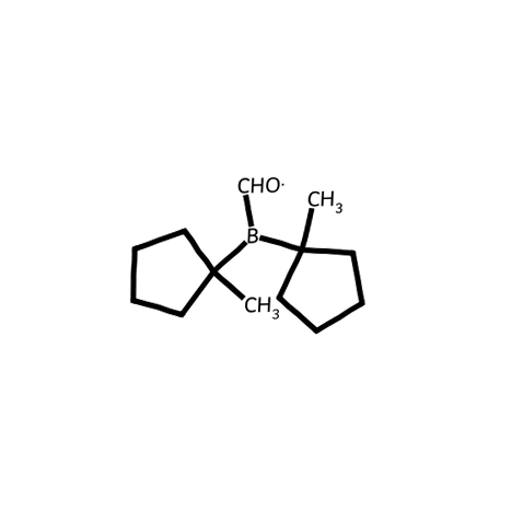 CC1(B([C]=O)C2(C)CCCC2)CCCC1